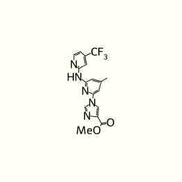 COC(=O)c1cn(-c2cc(C)cc(Nc3cc(C(F)(F)F)ccn3)n2)cn1